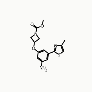 COC(=O)N1CC(Oc2cc(N)cc(-c3nc(C)cs3)c2)C1